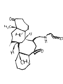 C[C@]12CCCCC1C(=O)C(CNC=O)[C@@H]1[C@H]2CC[C@]2(C)C(=O)CC[C@@H]12